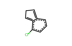 Clc1cccc2c1=CCC=2